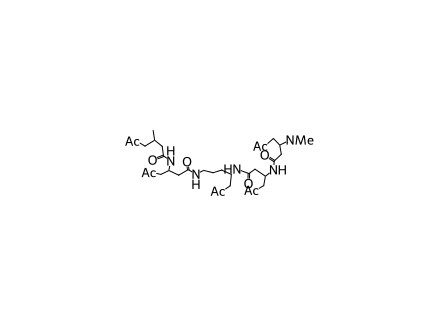 CNC(CC(C)=O)CC(=O)NC(CC(C)=O)CC(=O)NC(CCCNC(=O)CC(CC(C)=O)NC(=O)CC(C)CC(C)=O)CC(C)=O